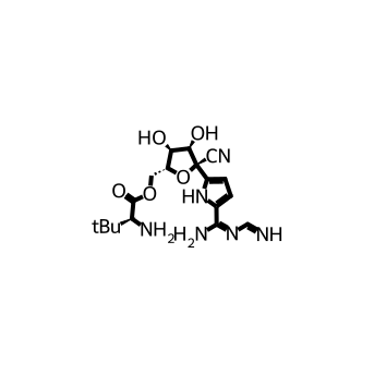 CC(C)(C)[C@H](N)C(=O)OC[C@H]1O[C@@](C#N)(c2ccc(/C(N)=N\C=N)[nH]2)[C@H](O)[C@@H]1O